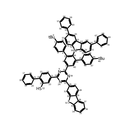 CC(C)(C)c1ccc(-c2cc(-c3nc(-c4ccc(-c5ccccc5)c(S)c4)nc(-c4ccc5c(c4)sc4ccccc45)n3)cc(-c3ccc(C(C)(C)C)cc3)c2-n2c3ccc(-c4ccccc4)cc3c3cc(-c4ccccc4)ccc32)cc1